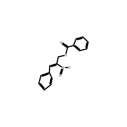 O=C(OCC(=Cc1ccccc1)[N+](=O)[O-])c1ccccc1